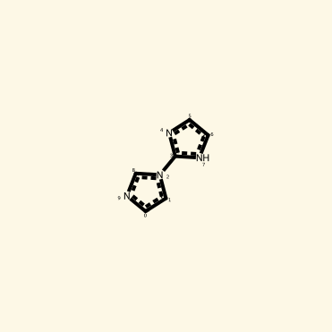 [c]1cn(-c2n[c]c[nH]2)cn1